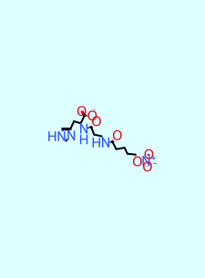 COC(=O)C(Cc1c[nH]cn1)NC(=O)CCNC(=O)CCCCO[N+](=O)[O-]